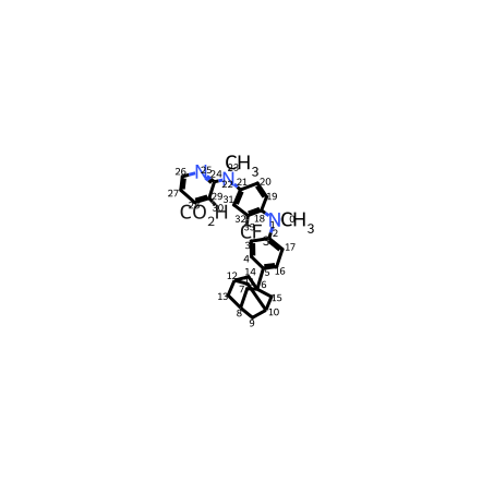 CN(c1ccc(C23CC4CC(CC(C4)C2)C3)cc1)c1ccc(N(C)c2ncccc2C(=O)O)cc1C(F)(F)F